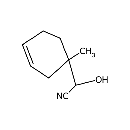 CC1(C(O)C#N)CC=CCC1